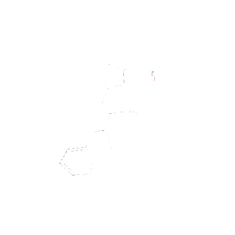 CC(=O)OC1CCC(CC(C)C(=O)Oc2ccccc2)C1